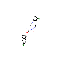 NC(COc1ccc2cc(Cl)ccc2c1)C(=O)N1CCN(c2cc(Cl)ccc2Cl)CC1